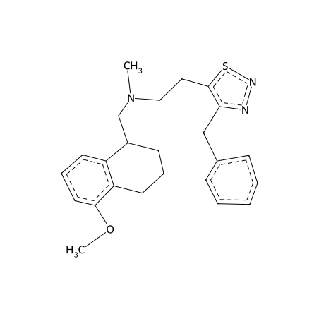 COc1cccc2c1CCCC2CN(C)CCc1snnc1Cc1ccccc1